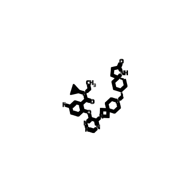 CCN(C(=O)c1cc(F)ccc1Oc1nncnc1N1CC2(CCN(C[C@H]3CC[C@@]4(CCC(=O)N4)CC3)CC2)C1)C1CC1